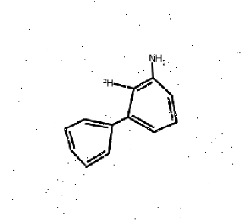 [2H]c1c(N)cccc1-c1ccccc1